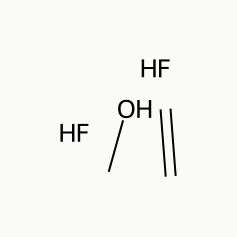 C=C.CO.F.F